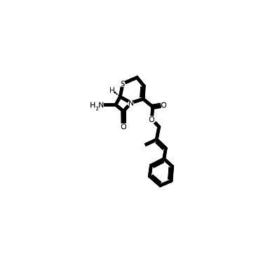 C/C(=C\c1ccccc1)COC(=O)C1=CCS[C@@H]2C(N)C(=O)N12